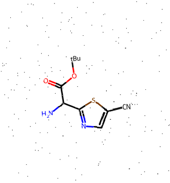 CC(C)(C)OC(=O)C(N)c1ncc(C#N)s1